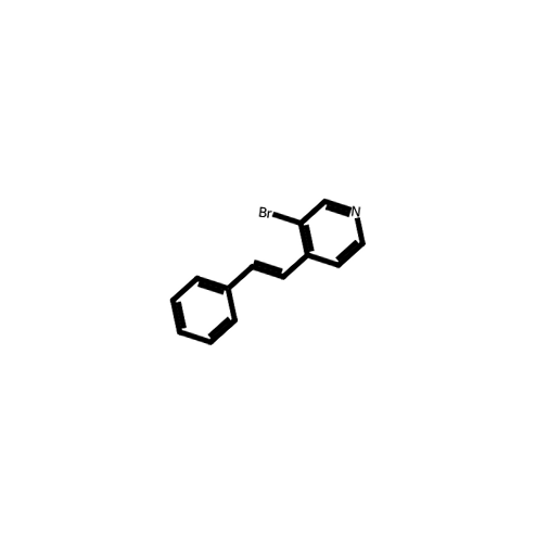 Brc1cnccc1/C=C/c1ccccc1